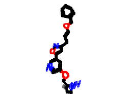 c1ccc(COCCCc2cc(-c3cncc(OC[C@@H]4CCN4)c3)on2)cc1